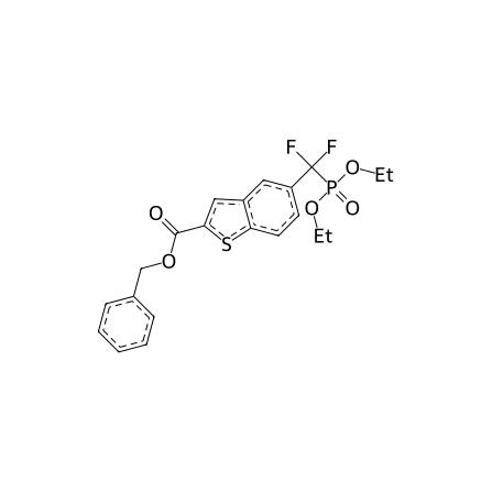 CCOP(=O)(OCC)C(F)(F)c1ccc2sc(C(=O)OCc3ccccc3)cc2c1